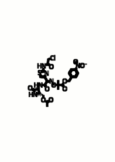 CC(=O)OC[C@@H]1NC(=O)[C@@H]1NC(=O)C(=NOC(C)(C)C(=O)OCc1ccc([N+](=O)[O-])cc1)c1csc(NC(=O)CCl)n1